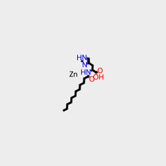 CCCCCCCCCCCC(=O)NC(Cc1c[nH]cn1)C(=O)O.[Zn]